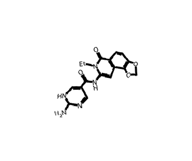 CCn1c(NC(=O)C2=CNC(N)N=C2)cc2c3c(ccc2c1=O)OCO3